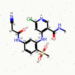 CNC(=O)c1cnc(Cl)cc1Nc1cc(NC(=O)CC#N)ccc1S(C)(=O)=O